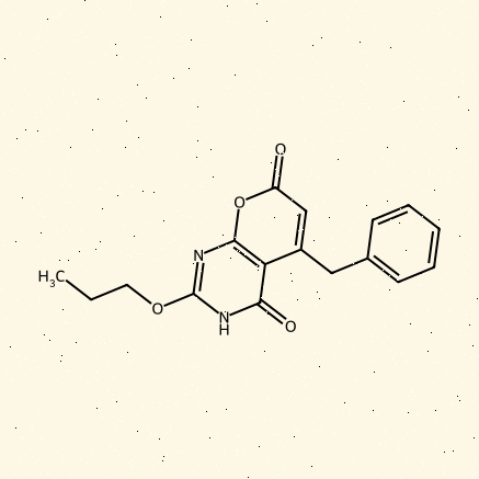 CCCOc1nc2oc(=O)cc(Cc3ccccc3)c2c(=O)[nH]1